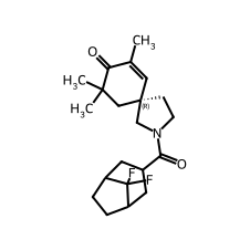 CC1=C[C@]2(CCN(C(=O)C3CC4CCC(C3)C4(F)F)C2)CC(C)(C)C1=O